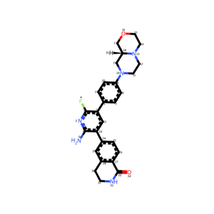 Nc1nc(F)c(-c2ccc(N3CCN4CCOC[C@H]4C3)cc2)cc1-c1ccc2c(c1)CCNC2=O